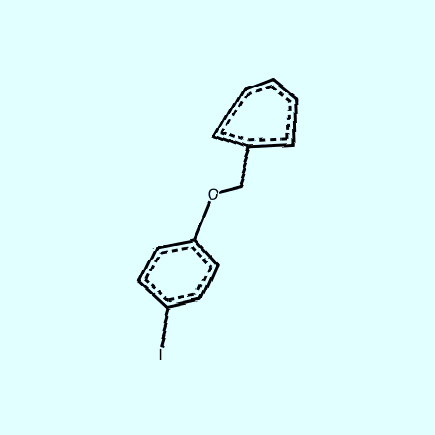 Ic1c[c]c(OCc2ccccc2)cc1